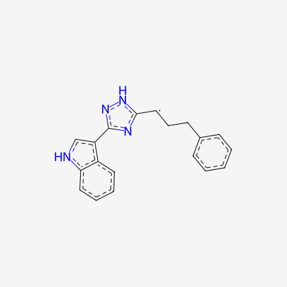 [CH](CCc1ccccc1)c1nc(-c2c[nH]c3ccccc23)n[nH]1